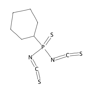 S=C=NP(=S)(N=C=S)C1CCCCC1